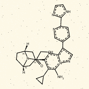 Nc1c(C2CC2)c([C@@H]2C[C@H]3CC[C@@H](C2)N3C(=O)CO)nc2c(-c3ccc(-c4ncc[nH]4)nc3)cnn12